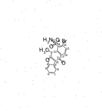 CCc1oc2ccccc2c1C(=O)c1ccc(Br)c(S(N)(=O)=O)c1